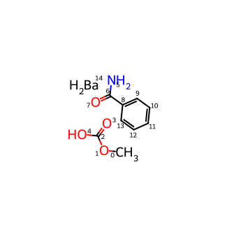 COC(=O)O.NC(=O)c1ccccc1.[BaH2]